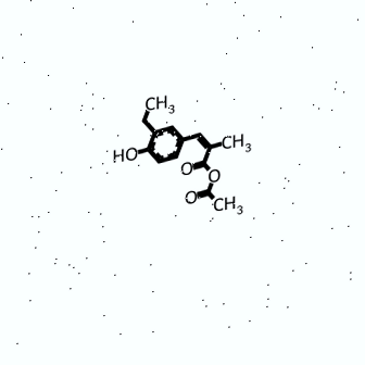 CCc1cc(C=C(C)C(=O)OC(C)=O)ccc1O